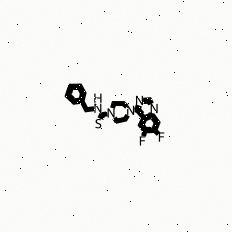 Fc1cc2ncnc(N3CCN(C(=S)NCc4ccccc4)CC3)c2cc1F